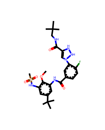 COc1c(NC(=O)c2ccc(F)c(N3C=C(C(=O)NCC(C)(C)C)NN3)c2)cc(C(C)(C)C)cc1NS(C)(=O)=O